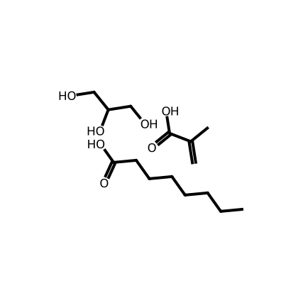 C=C(C)C(=O)O.CCCCCCCC(=O)O.OCC(O)CO